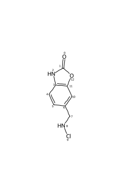 O=c1[nH]c2ccc(CNCl)cc2o1